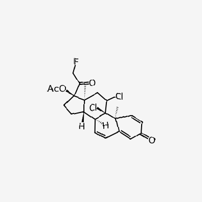 CC(=O)O[C@]1(C(=O)CF)CC[C@H]2[C@@H]3C=CC4=CC(=O)C=C[C@]4(C)[C@@]3(Cl)C(Cl)C[C@@]21C